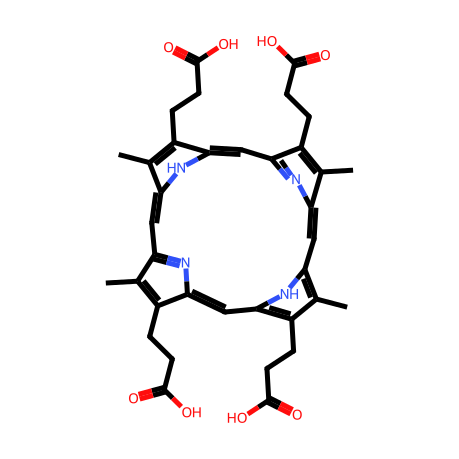 CC1=C(CCC(=O)O)c2cc3[nH]c(cc4nc(cc5[nH]c(cc1n2)c(C)c5CCC(=O)O)C(CCC(=O)O)=C4C)c(C)c3CCC(=O)O